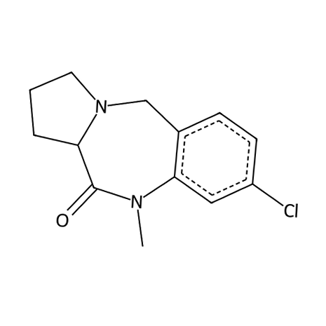 CN1C(=O)C2CCCN2Cc2ccc(Cl)cc21